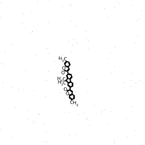 Cc1ccc2cc(-c3ccc4c(c3)C(C)(C)c3cc(-c5cc6ccc(C)cc6oc5=O)ccc3-4)c(=O)oc2c1